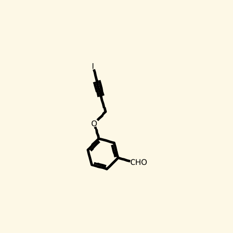 O=Cc1cccc(OCC#CI)c1